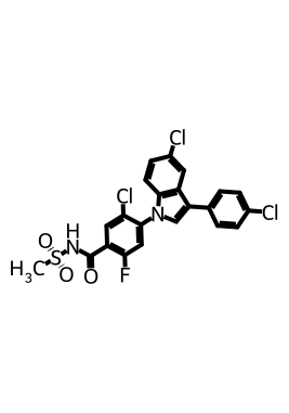 CS(=O)(=O)NC(=O)c1cc(Cl)c(-n2cc(-c3ccc(Cl)cc3)c3cc(Cl)ccc32)cc1F